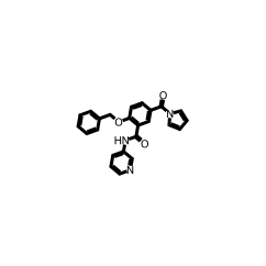 O=C(Nc1cccnc1)c1cc(C(=O)n2cccc2)ccc1OCc1ccccc1